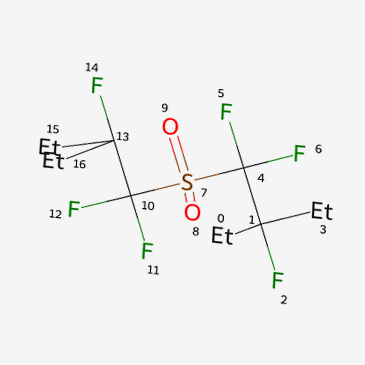 CCC(F)(CC)C(F)(F)S(=O)(=O)C(F)(F)C(F)(CC)CC